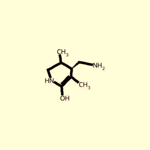 CC1=C(O)NCC(C)[C@H]1CN